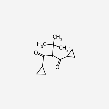 [CH2]C(C)(C)[C](C(=O)C1CC1)C(=O)C1CC1